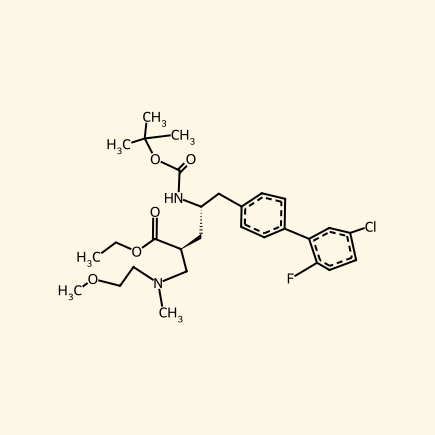 CCOC(=O)[C@@H](C[C@@H](Cc1ccc(-c2cc(Cl)ccc2F)cc1)NC(=O)OC(C)(C)C)CN(C)CCOC